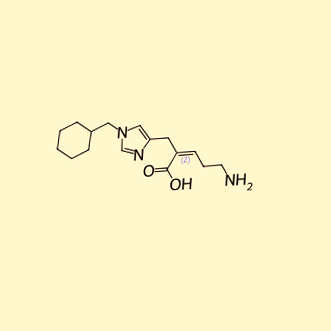 NCC/C=C(/Cc1cn(CC2CCCCC2)cn1)C(=O)O